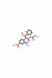 COC(=O)c1ccc(/C(C(=O)CC(=O)CCl)=C(\OC)c2ccccc2)c(N)c1